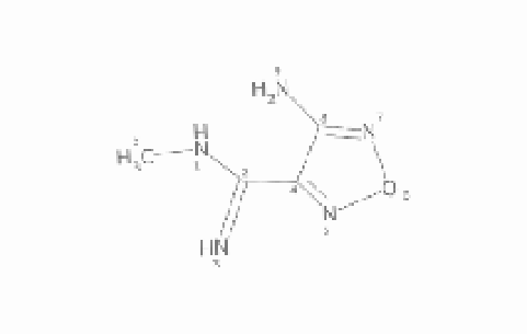 CNC(=N)c1nonc1N